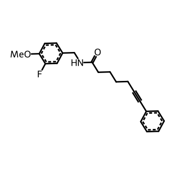 COc1ccc(CNC(=O)CCCCC#Cc2ccccc2)cc1F